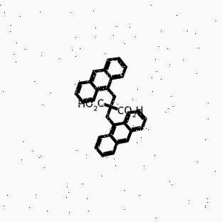 O=C(O)C(Cc1c2ccccc2cc2ccccc12)(Cc1c2ccccc2cc2ccccc12)C(=O)O